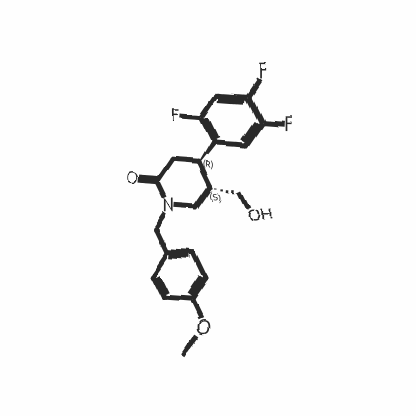 COc1ccc(CN2C[C@@H](CO)[C@H](c3cc(F)c(F)cc3F)CC2=O)cc1